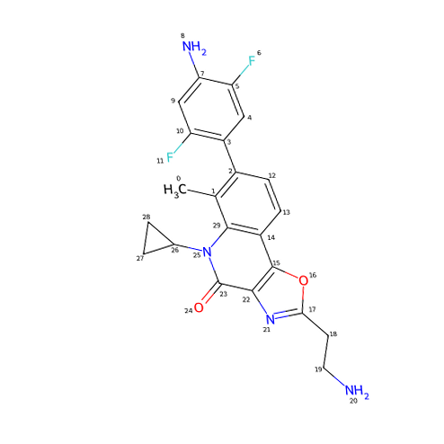 Cc1c(-c2cc(F)c(N)cc2F)ccc2c3oc(CCN)nc3c(=O)n(C3CC3)c12